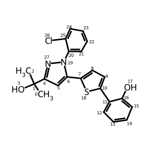 CC(C)(O)c1cc(-c2ccc(-c3ccccc3O)s2)n(-c2ccccc2Cl)n1